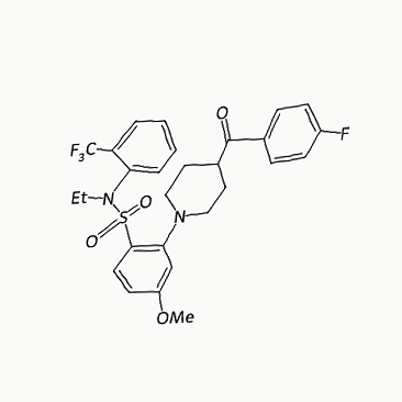 CCN(c1ccccc1C(F)(F)F)S(=O)(=O)c1ccc(OC)cc1N1CCC(C(=O)c2ccc(F)cc2)CC1